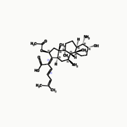 CC(=O)O[C@H]1C[C@@]2(C)[C@@H](C[C@H](N)[C@H]3[C@@]4(C)CC[C@@H](O)[C@@H](N)[C@@H]4CC[C@@]32C)/C1=C(\C=C\C=C(C)C)C(=O)O